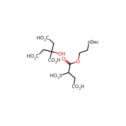 CCCCCCCCCCCCOC(=O)C(CC(=O)O)S(=O)(=O)O.O=C(O)CC(O)(CC(=O)O)C(=O)O